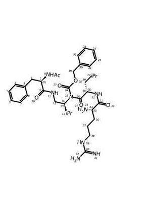 CC(=O)N[C@H](Cc1ccccc1)C(=O)NC[C@H](C(C)C)N(C(=O)OCc1ccccc1)C(=O)[C@H](CC(C)C)NC(=O)[C@@H](N)CCCNC(=N)N